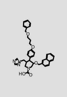 O=C(O)N1CC(Cn2cncn2)C(c2ccc(OCCCOCc3ccccc3)cc2)C(OCc2ccc3ccccc3c2)C1